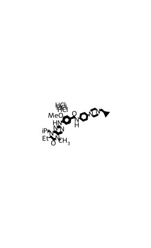 CC[C@@H]1C(=O)N(C)c2cnc(Nc3ccc(C(=O)N[C@H]4CC[C@H](N5CCN(CC6CC6)CC5)CC4)cc3OC)nc2N1C(C)C.Cl.Cl.Cl